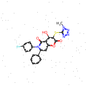 Cn1nnnc1Sc1c(O)c2c(=O)n(-c3ccc(F)cc3)c(-c3ccccc3)cc2oc1=O